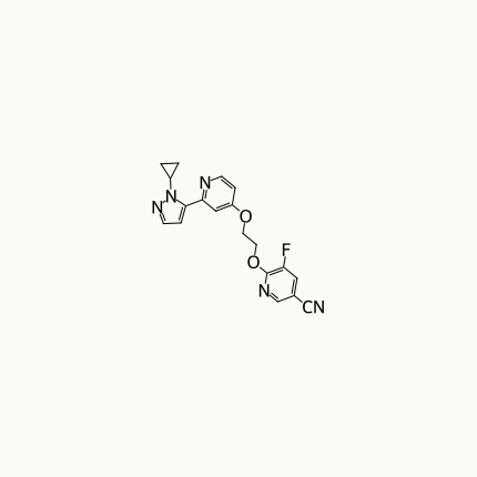 N#Cc1cnc(OCCOc2ccnc(-c3ccnn3C3CC3)c2)c(F)c1